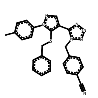 Cc1ccc(-n2ncc(-c3nnnn3Cc3ccc(C#N)cc3)c2SCc2ccccc2)cc1